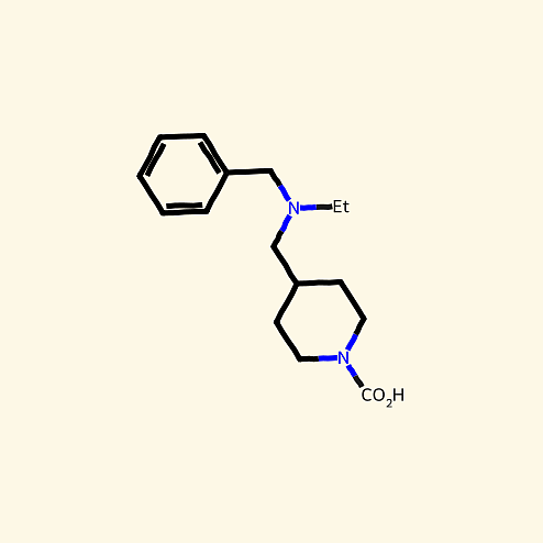 CCN(Cc1ccccc1)CC1CCN(C(=O)O)CC1